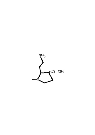 CN1CCCC1CCN.Cl.Cl